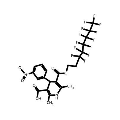 CC1=C(C(=O)O)C(c2cccc([N+](=O)[O-])c2)C(C(=O)OCCC(F)(F)C(F)(F)C(F)(F)C(F)(F)C(F)(F)C(F)(F)F)=C(C)N1